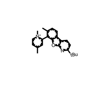 Cc1cc[n+](C)c(-c2c(C)ccc3c2oc2nc(C(C)(C)C)ccc23)c1